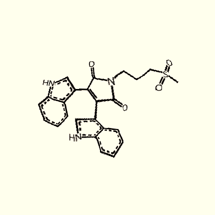 CS(=O)(=O)CCCN1C(=O)C(c2c[nH]c3ccccc23)=C(c2c[nH]c3ccccc23)C1=O